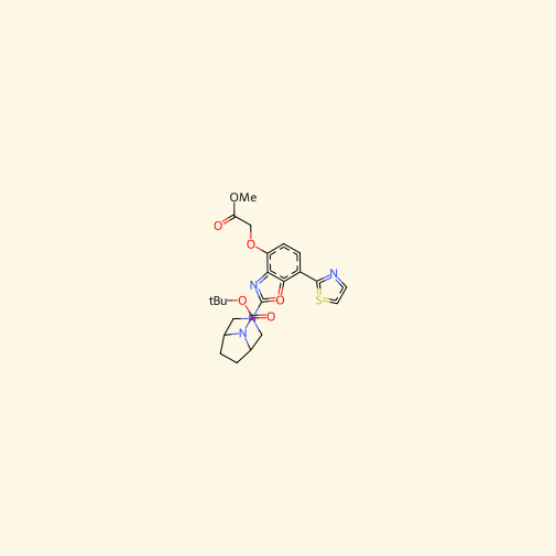 COC(=O)COc1ccc(-c2nccs2)c2oc(N3CC4CCC(C3)N4C(=O)OC(C)(C)C)nc12